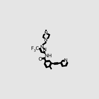 Cc1ccc(C(=O)Nc2cc(C(F)(F)F)n(CCN3CCN(C)CC3)n2)cc1C#Cc1cccnc1